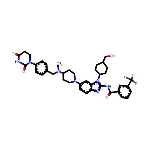 CN(Cc1ccc(N2CCC(=O)NC2=O)cc1)C1CCN(c2ccc3nc(NC(=O)c4cccc(C(F)(F)F)c4)n(C4CCC(CO)CC4)c3c2)CC1